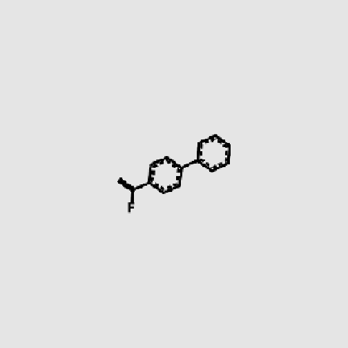 C=C(F)c1ccc(-c2ccccc2)cc1